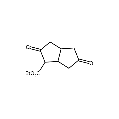 CCOC(=O)C1C(=O)CC2CC(=O)CC21